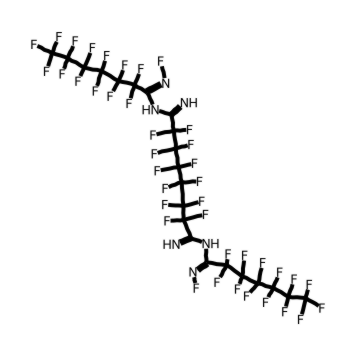 N=C(NC(=NF)C(F)(F)C(F)(F)C(F)(F)C(F)(F)C(F)(F)C(F)(F)F)C(F)(F)C(F)(F)C(F)(F)C(F)(F)C(F)(F)C(F)(F)C(=N)NC(=NF)C(F)(F)C(F)(F)C(F)(F)C(F)(F)C(F)(F)C(F)(F)F